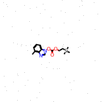 Cc1cccc2c1ncn2OC(=O)OCC[Si](C)(C)C